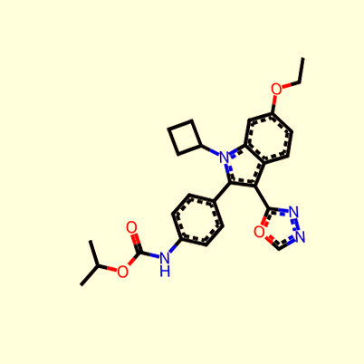 CCOc1ccc2c(-c3nnco3)c(-c3ccc(NC(=O)OC(C)C)cc3)n(C3CCC3)c2c1